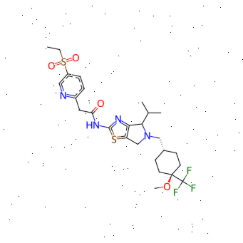 CCS(=O)(=O)c1ccc(CC(=O)Nc2nc3c(s2)CN(C[C@H]2CC[C@@](OC)(C(F)(F)F)CC2)C3C(C)C)nc1